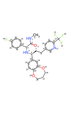 CNC(=O)C(N[C@@H](CCc1ccc(C(F)(F)F)nc1)c1ccc2c(c1)OCCCO2)c1ccc(F)cc1